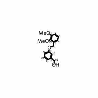 COc1cccc(COc2cccc(CO)c2)c1OC